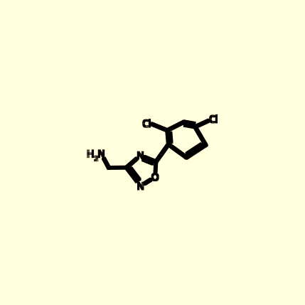 NCc1noc(-c2ccc(Cl)cc2Cl)n1